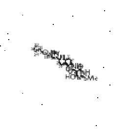 CSc1nc(O)c(C(=O)Nc2ccc3nc(-c4cn(COCC[Si](C)(C)C)nn4)ccc3c2C(F)(F)F)c(=O)[nH]1